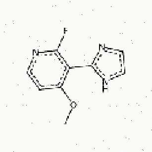 COc1ccnc(F)c1-c1ncc[nH]1